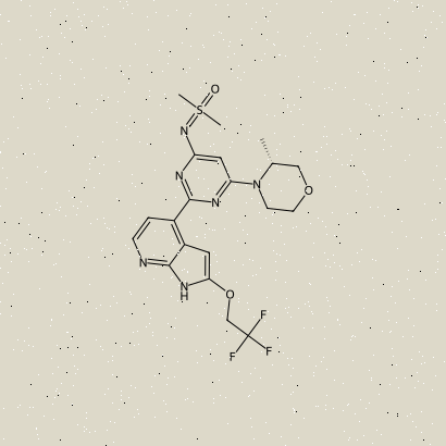 C[C@@H]1COCCN1c1cc(N=S(C)(C)=O)nc(-c2ccnc3[nH]c(OCC(F)(F)F)cc23)n1